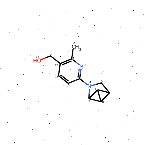 Cc1nc(N2CC3C4C3C42)ccc1CO